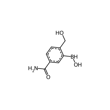 NC(=O)c1ccc(CO)c(BO)c1